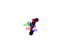 CCN1CCN(CC(O)C2Cc3ccccc3CN2)C(=O)c2ccc(C(=O)N3C4CCCC3COC4)cc21.Cl